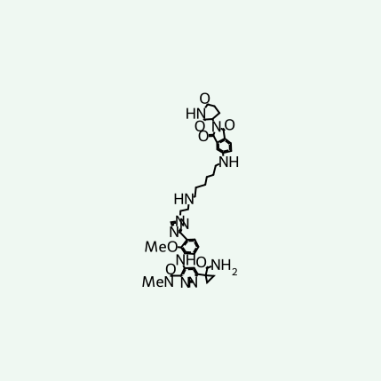 CNC(=O)c1nnc(C2(C(N)=O)CC2)cc1Nc1cccc(-c2ncn(CCNCCCCCCNc3ccc4c(c3)C(=O)N(C3CCC(=O)NC3=O)C4=O)n2)c1OC